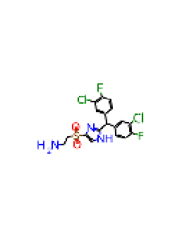 NCCS(=O)(=O)c1c[nH]c(C(c2ccc(F)c(Cl)c2)c2ccc(F)c(Cl)c2)n1